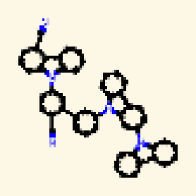 N#Cc1ccc(-n2c3ccccc3c3c(C#N)cccc32)cc1-c1cccc(-n2c3ccccc3c3ccc(-n4c5ccccc5c5ccccc54)cc32)c1